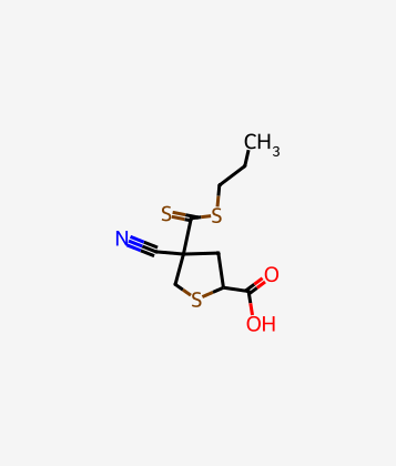 CCCSC(=S)C1(C#N)CSC(C(=O)O)C1